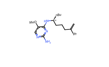 C=C(CCC[C@H](CCCC)Nc1nc(N)ncc1OC)C(C)C